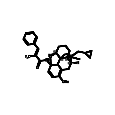 CC(=O)OC1=C2C[C@@H]3[C@@H]4CCC[C@@H]5OC(NC(=O)C(=Cc6ccccc6)C(F)(F)F)(C=C1)C2[C@@]54CC[N+]3(C)CC1CC1